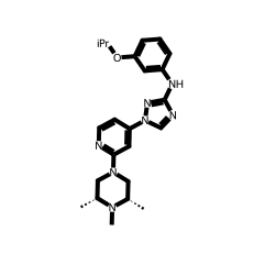 CC(C)Oc1cccc(Nc2ncn(-c3ccnc(N4C[C@@H](C)N(C)[C@@H](C)C4)c3)n2)c1